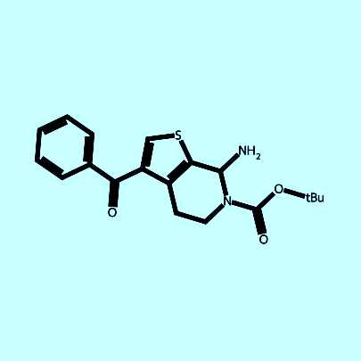 CC(C)(C)OC(=O)N1CCc2c(C(=O)c3ccccc3)csc2C1N